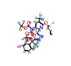 C=CC[C@@H](C)Oc1nc(-c2nnc(C(O)(c3cc(I)ccc3F)C(F)(F)F)o2)c(N(C(=O)OC(C)(C)C)C(=O)OC(C)(C)C)cc1C(F)(F)F